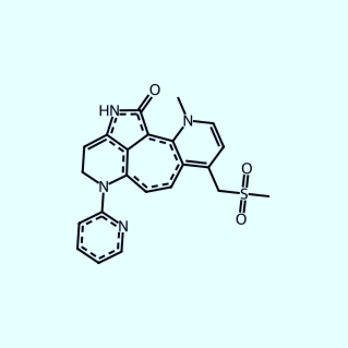 CN1C=CC(CS(C)(=O)=O)=c2ccc3c4c([nH]c(=O)c-4c21)=CCN3c1ccccn1